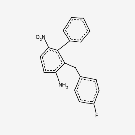 Nc1ccc([N+](=O)[O-])c(-c2ccccc2)c1Cc1ccc(F)cc1